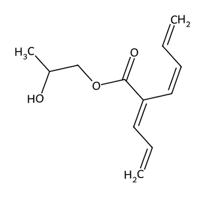 C=C/C=C\C(=C/C=C)C(=O)OCC(C)O